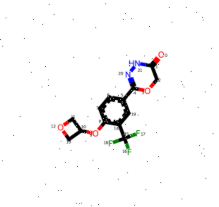 O=C1COC(c2ccc(OC3COC3)c(C(F)(F)F)c2)=NN1